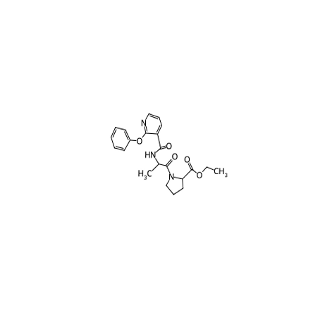 CCOC(=O)C1CCCN1C(=O)C(C)NC(=O)c1cccnc1Oc1ccccc1